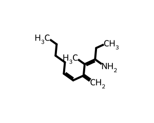 C=C(/C=C\CCCC)/C(C)=C(\N)CC